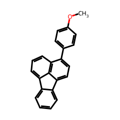 COc1ccc(-c2ccc3c4c(cccc24)-c2ccccc2-3)cc1